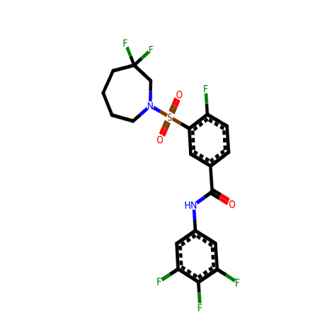 O=C(Nc1cc(F)c(F)c(F)c1)c1ccc(F)c(S(=O)(=O)N2CCCCC(F)(F)C2)c1